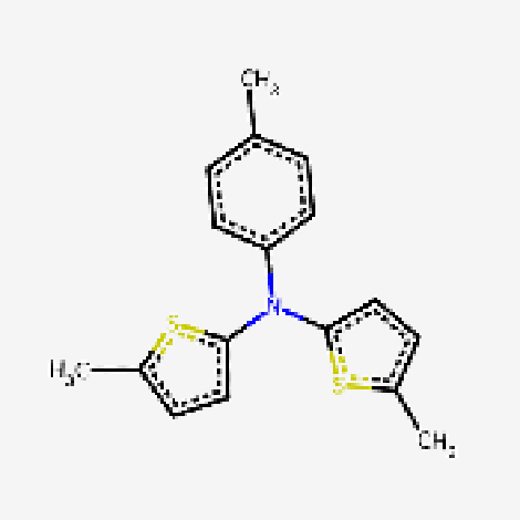 Cc1ccc(N(c2ccc(C)s2)c2ccc(C)s2)cc1